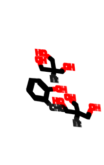 CCC(CO)(CO)CO.CCC(CO)(CO)CO.O=Cc1ccccc1O